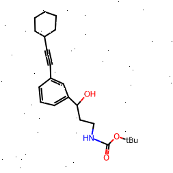 CC(C)(C)OC(=O)NCCC(O)c1cccc(C#CC2CCCCC2)c1